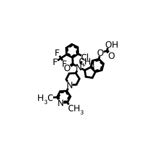 Cc1cc(N2CCC([N+](C)(C(=O)c3c(Cl)cccc3C(F)(F)F)C3CCc4ccc(OC(=O)O)cc43)CC2)cc(C)n1